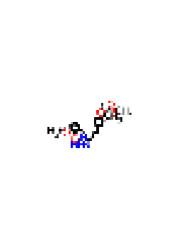 COC(=O)C(C)(C)Oc1ccc(CCCc2n[nH]c(=O)n2Cc2cccc(OC)c2)cc1